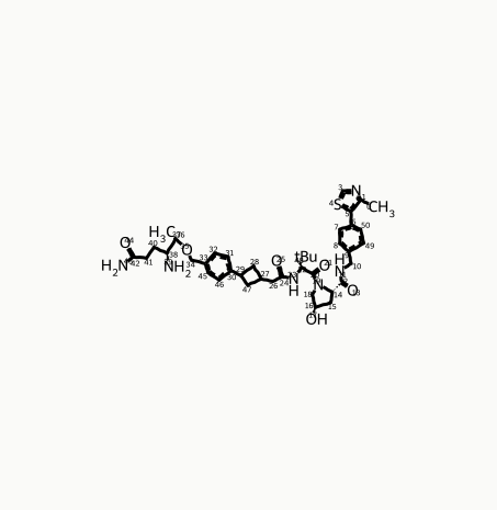 Cc1ncsc1-c1ccc(CNC(=O)[C@@H]2C[C@@H](O)CN2C(=O)[C@@H](NC(=O)CC2CC(c3ccc(CO[C@H](C)[C@@H](N)CCC(N)=O)cc3)C2)C(C)(C)C)cc1